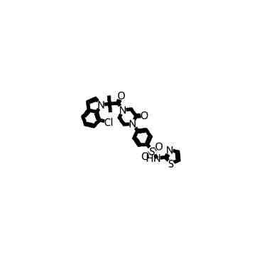 CC(C)(C(=O)N1CCN(c2ccc(S(=O)(=O)Nc3nccs3)cc2)C(=O)C1)n1ccc2cccc(Cl)c21